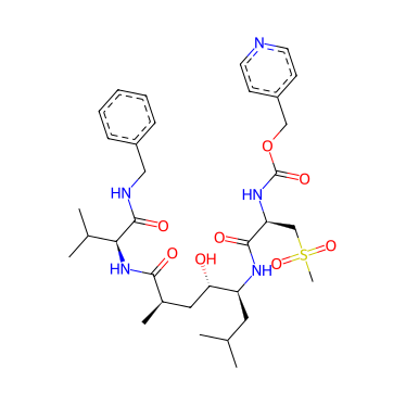 CC(C)C[C@H](NC(=O)[C@H](CS(C)(=O)=O)NC(=O)OCc1ccncc1)[C@@H](O)C[C@@H](C)C(=O)N[C@H](C(=O)NCc1ccccc1)C(C)C